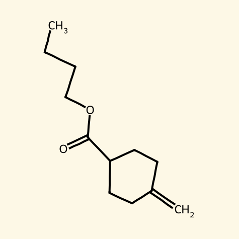 C=C1CCC(C(=O)OCCCC)CC1